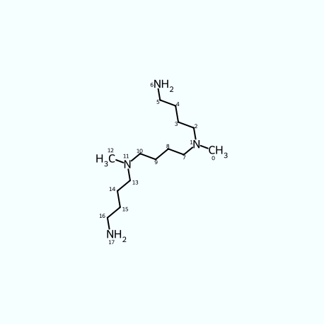 CN(CCCCN)CCCCN(C)CCCCN